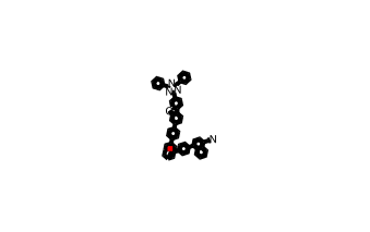 N#Cc1ccc(-c2ccc(C34CC5CC(CC(c6ccc(-c7ccc8c(c7)oc7cc(-c9nc(-c%10ccccc%10)nc(-c%10ccccc%10)n9)ccc78)cc6)(C5)C3)C4)cc2)c2ccccc12